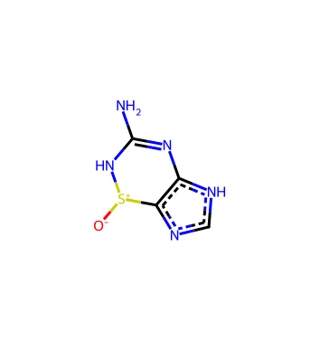 NC1=Nc2[nH]cnc2[S+]([O-])N1